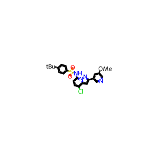 COc1cncc(-c2cc3c(Cl)ccc(NS(=O)(=O)c4ccc(C(C)(C)C)cc4)n3n2)c1